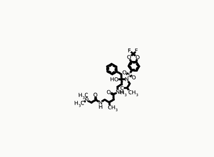 CC(C)CN(C(O)(CCNC(=O)CC(C)CNC(=O)CN(C)C)Cc1ccccc1)S(=O)(=O)c1ccc2c(c1)OC(F)(F)O2